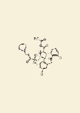 CC(C)(C[C@@H]1N[C@@H](C(=O)OC(=O)C(F)(F)F)[C@H](c2cccc(Cl)c2F)[C@@]1(C#N)c1ccc(Cl)cc1F)C(=O)OCc1ccccc1